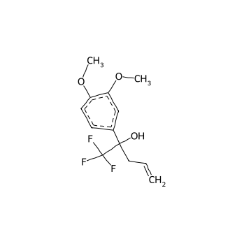 C=CCC(O)(c1ccc(OC)c(OC)c1)C(F)(F)F